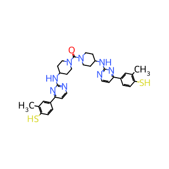 Cc1cc(-c2ccnc(NC3CCN(C(=O)N4CCC(Nc5nccc(-c6ccc(S)c(C)c6)n5)CC4)CC3)n2)ccc1S